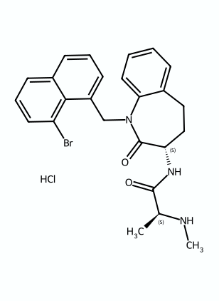 CN[C@@H](C)C(=O)N[C@H]1CCc2ccccc2N(Cc2cccc3cccc(Br)c23)C1=O.Cl